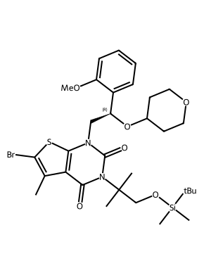 COc1ccccc1[C@H](Cn1c(=O)n(C(C)(C)CO[Si](C)(C)C(C)(C)C)c(=O)c2c(C)c(Br)sc21)OC1CCOCC1